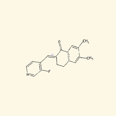 Cc1cc2c(cc1C)C(=O)/C(=C/c1ccncc1F)CC2